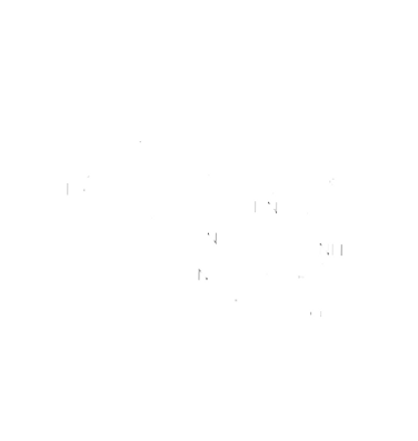 O=c1[nH]c(=S)[nH]c2c1cnn2-c1cccc(C(F)(F)F)c1